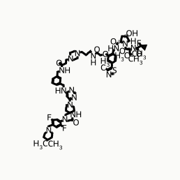 Cc1ncsc1-c1ccc(CNC(=O)[C@@H]2C[C@@H](O)CN2C(=O)[C@@H](NC(=O)C2(F)CC2)C(C)(C)C)c(OCC(=O)NCCCN2CCN(CCC(=O)NCc3cccc(CNc4cc(N5CCC6(CC5)CN(c5cc(F)c(CN7CCC(C)(C)CC7)cc5F)CC(=O)N6)ncn4)c3)CC2)c1